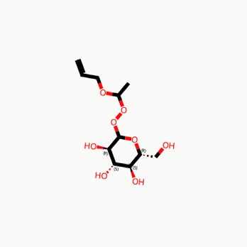 C=CCOC(C)OOC1O[C@H](CO)[C@@H](O)[C@H](O)[C@H]1O